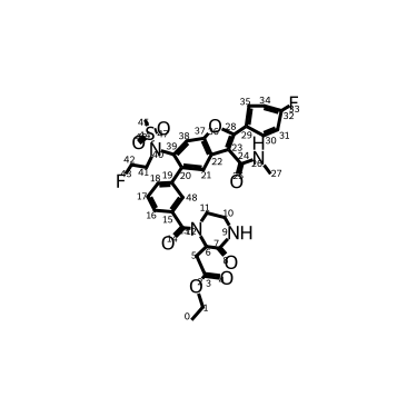 CCOC(=O)CC1C(=O)NCCN1C(=O)c1cccc(-c2cc3c(C(=O)NC)c(-c4ccc(F)cc4)oc3cc2N(CCF)S(C)(=O)=O)c1